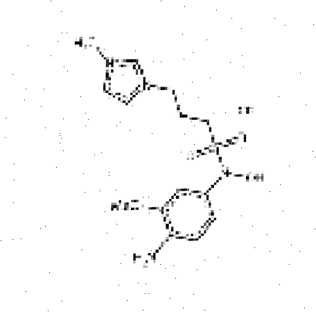 COc1cc(N(O)S(=O)(=O)CCCn2cc[n+](C)c2)ccc1N.[Cl-]